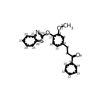 COc1cc(CCC(=O)c2ccccc2)ccc1Oc1nc2ccccc2s1